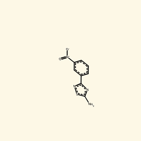 Nc1nc(-c2cccc([N+](=O)[O-])c2)ns1